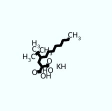 CCCCCCCCC(CC(C(=O)O)C(=O)O)C(C)(C)C.[KH]